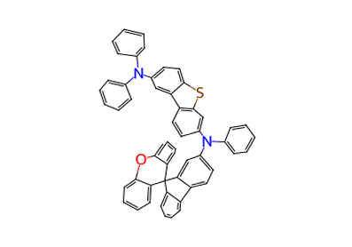 c1ccc(N(c2ccc3c(c2)C2(c4ccccc4Oc4ccccc42)c2ccccc2-3)c2ccc3c(c2)sc2ccc(N(c4ccccc4)c4ccccc4)cc23)cc1